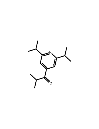 CC(C)C(=O)c1cc(C(C)C)nc(C(C)C)c1